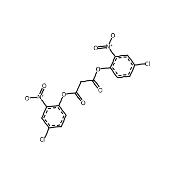 O=C(CC(=O)Oc1ccc(Cl)cc1[N+](=O)[O-])Oc1ccc(Cl)cc1[N+](=O)[O-]